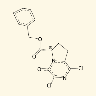 O=C(OCc1ccccc1)[C@@H]1CCc2c(Cl)nc(Cl)c(=O)n21